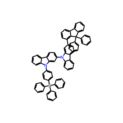 c1ccc(C2(c3ccccc3)c3ccccc3-c3cccc(-c4ccc5c6ccccc6n(-c6ccc7c8ccccc8n(-c8ccc([Si](c9ccccc9)(c9ccccc9)c9ccccc9)cc8)c7c6)c5c4)c32)cc1